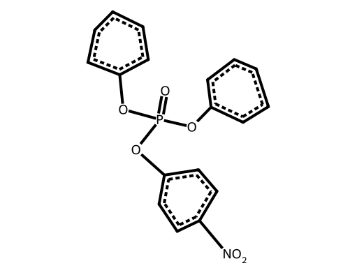 O=[N+]([O-])c1ccc(OP(=O)(Oc2ccccc2)Oc2ccccc2)cc1